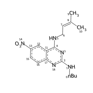 CCCCNc1nc(NCC=C(C)C)c2cc([N+](=O)[O-])ccc2n1